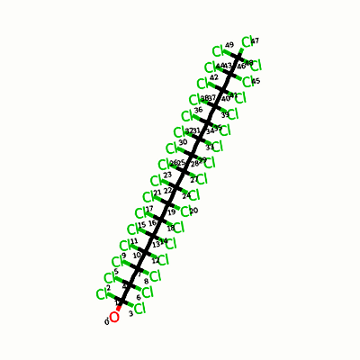 [O]C(Cl)(Cl)C(Cl)(Cl)C(Cl)(Cl)C(Cl)(Cl)C(Cl)(Cl)C(Cl)(Cl)C(Cl)(Cl)C(Cl)(Cl)C(Cl)(Cl)C(Cl)(Cl)C(Cl)(Cl)C(Cl)(Cl)C(Cl)(Cl)C(Cl)(Cl)C(Cl)(Cl)C(Cl)(Cl)Cl